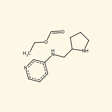 CCOC=O.c1cncc(NCC2CCCN2)c1